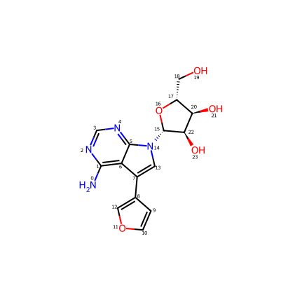 Nc1ncnc2c1c(-c1ccoc1)cn2[C@@H]1O[C@H](CO)[C@@H](O)[C@H]1O